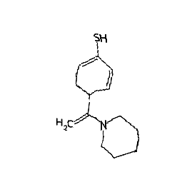 C=C(C1C=CC(S)=CC1)N1CCCCC1